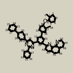 Cc1ccccc1Oc1ccc(-c2cc(-c3cc(-c4ccc(-c5ccccc5)cc4)nc(-c4ccccc4)n3)cc(-c3ccc4ccc5cccnc5c4n3)c2)cc1C